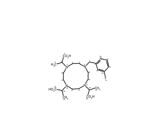 CC(C(=O)O)N1CCN(Cc2cc(F)ccn2)CCN(C(C)C(=O)O)CCN(C(C)C(=O)O)CC1